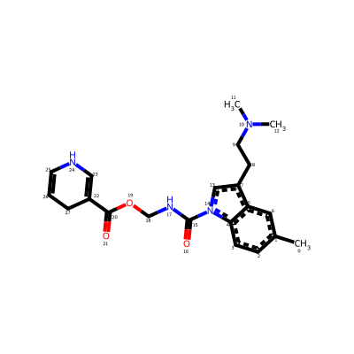 Cc1ccc2c(c1)c(CCN(C)C)cn2C(=O)NCOC(=O)C1=CNC=CC1